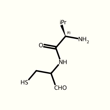 CC(C)[C@@H](N)C(=O)N[C](C=O)CS